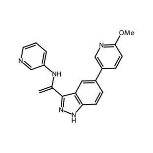 C=C(Nc1cccnc1)c1n[nH]c2ccc(-c3ccc(OC)nc3)cc12